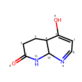 O=C1CCC2C(O)=CC=NC2N1